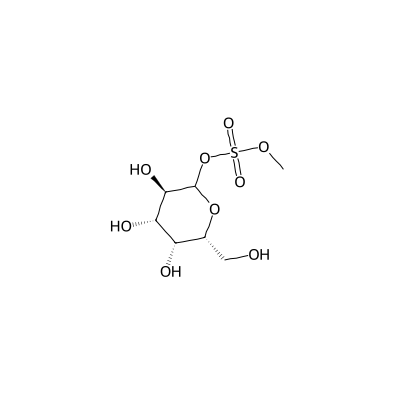 COS(=O)(=O)OC1O[C@H](CO)[C@H](O)[C@H](O)[C@H]1O